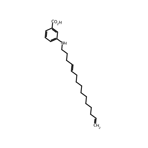 C=CCCCCCCCCC=CCCCNc1cccc(C(=O)O)c1